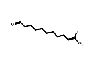 C=CCCCCCCCCC=C(C)C